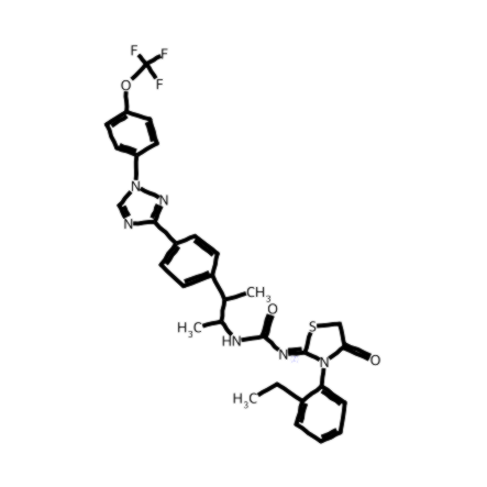 CCc1ccccc1N1C(=O)CS/C1=N\C(=O)NC(C)C(C)c1ccc(-c2ncn(-c3ccc(OC(F)(F)F)cc3)n2)cc1